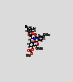 COC(=O)c1c(OC(=O)OC(C)(C)C)ccc(C[C@H](NC(=O)CSC)B2OC3C[C@@H]4C[C@@H](C4(C)C)[C@]3(C)O2)c1OCc1ccc(OC)cc1